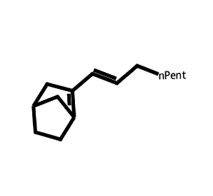 CCCCCCC=CC1=C2CCC(C1)C2